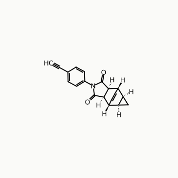 C#Cc1ccc(N2C(=O)[C@@H]3[C@@H]4C=C[C@@H]([C@H]5C[C@@H]45)[C@@H]3C2=O)cc1